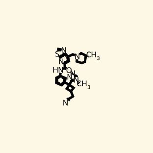 C[C@H]1CCCN(Cc2cc(C(=O)Nc3cccc(C4(c5nncn5C)CC(CC#N)C4)c3)nc3scnc23)C1